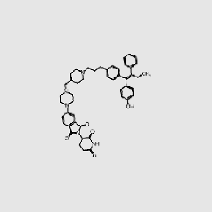 CCC(=C(c1ccc(O)cc1)c1ccc(CCCN2CCC(CN3CCN(c4ccc5c(c4)C(=O)N(C4CCC(=O)NC4=O)C5=O)CC3)CC2)cc1)c1ccccc1